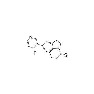 Fc1ccncc1-c1cc2c3c(c1)CCN3C(=S)CC2